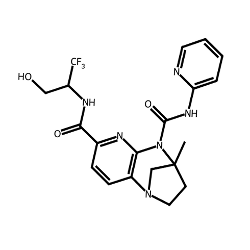 CC12CCN(C1)c1ccc(C(=O)NC(CO)C(F)(F)F)nc1N2C(=O)Nc1ccccn1